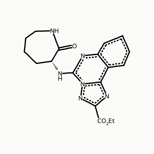 CCOC(=O)c1nc2c3ccccc3nc(N[C@@H]3CCCCNC3=O)n2n1